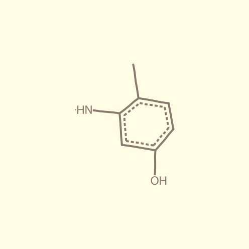 Cc1ccc(O)cc1[NH]